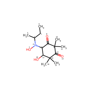 CCC(C)N(O)C1C(=O)C(C)(C)C(=O)C(C)(C)C1O